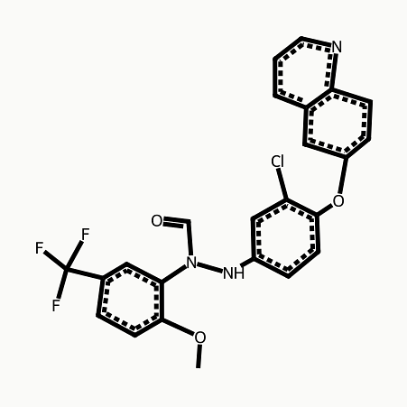 COc1ccc(C(F)(F)F)cc1N(C=O)Nc1ccc(Oc2ccc3ncccc3c2)c(Cl)c1